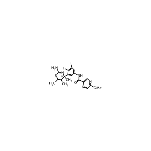 COc1cnc(C(=O)Nc2cc(F)c(F)c([C@@]3(C)N=C(N)SC(C)C3C)c2)cn1